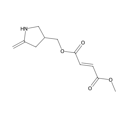 C=C1CC(COC(=O)/C=C/C(=O)OC)CN1